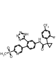 CS(=O)(=O)c1ccc(-c2ccc(NC(=O)C3(c4ccc(C(F)(F)F)cc4F)CC3)cc2-c2nnn[nH]2)cn1